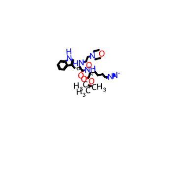 CC(C)(C)OC(=O)[C@H](CCCC=[N+]=[N-])NC(=O)[C@H](Cc1c[nH]c2ccccc12)NC(=O)CN1CCOCC1